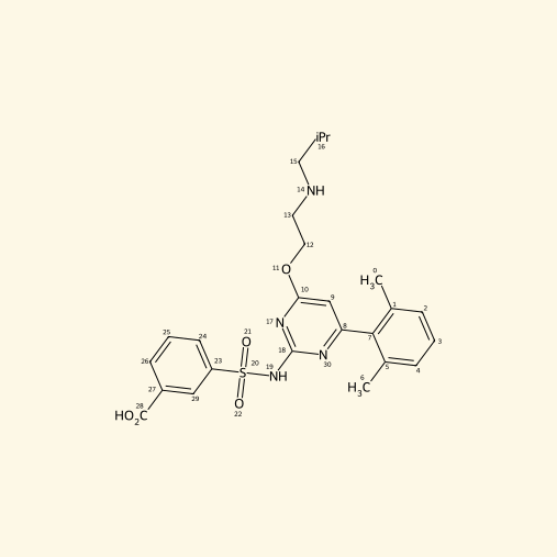 Cc1cccc(C)c1-c1cc(OCCNCC(C)C)nc(NS(=O)(=O)c2cccc(C(=O)O)c2)n1